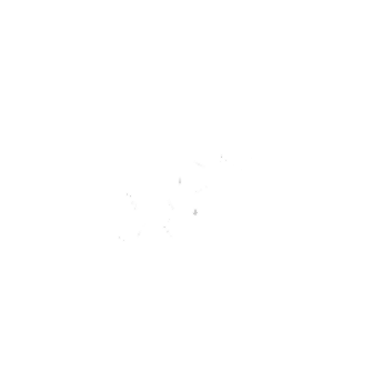 CSNc1cc2[nH]c(C(=O)/C(C#N)=C/N(C)C)cc2cc1OF